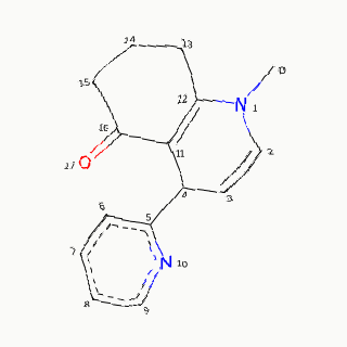 CN1C=CC(c2ccccn2)C2=C1CCCC2=O